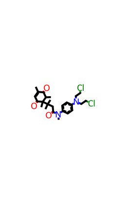 CC1=CC(=O)C(C)(C(C)(C)CC(=O)N(C)c2ccc(N(CCCl)CCCl)cc2)C(C)C1=O